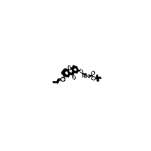 CCCOc1ccc2oc3ccc(OCCNC(=O)OC(C)(C)C)cc3c(=O)c2c1